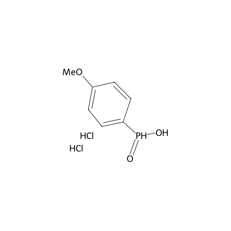 COc1ccc([PH](=O)O)cc1.Cl.Cl